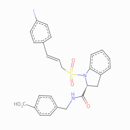 O=C(O)c1ccc(CNC(=O)[C@@H]2Cc3ccccc3N2S(=O)(=O)CC=Cc2ccc(I)cc2)cc1